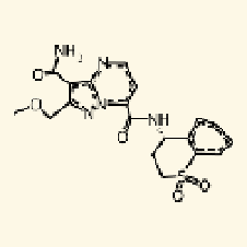 COCc1nn2c(C(=O)N[C@H]3CCS(=O)(=O)c4ccccc43)ccnc2c1C(N)=O